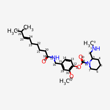 CNCC1CCCCN1C(=O)Oc1ccc(CNC(=O)CCCC/C=C/C(C)C)cc1OC